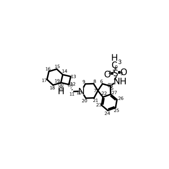 CS(=O)(=O)N[C@@H]1CC2(CCN(C[C@H]3CC4CCCC[C@@H]43)CC2)c2ccccc21